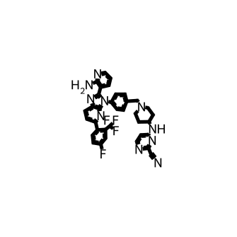 N#Cc1nccc(NC2CCN(Cc3ccc(-n4c(-c5cccnc5N)nc5ccc(-c6ccc(F)cc6C(F)(F)F)nc54)cc3)CC2)n1